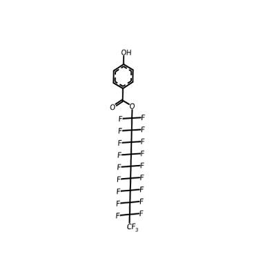 O=C(OC(F)(F)C(F)(F)C(F)(F)C(F)(F)C(F)(F)C(F)(F)C(F)(F)C(F)(F)C(F)(F)C(F)(F)F)c1ccc(O)cc1